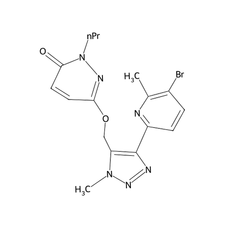 CCCn1nc(OCc2c(-c3ccc(Br)c(C)n3)nnn2C)ccc1=O